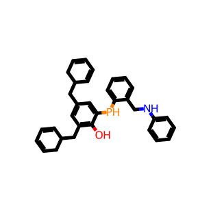 Oc1c(CC2C=CC=CC2)cc(CC2C=CC=CC2)cc1Pc1ccccc1CNc1ccccc1